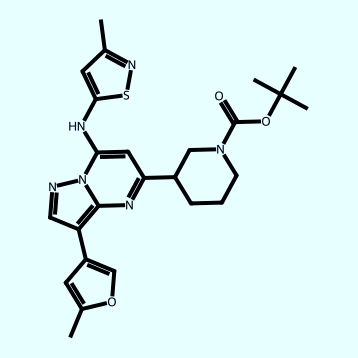 Cc1cc(Nc2cc(C3CCCN(C(=O)OC(C)(C)C)C3)nc3c(-c4coc(C)c4)cnn23)sn1